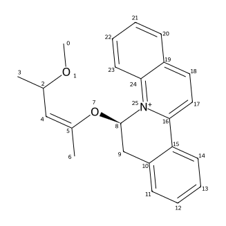 COC(C)/C=C(/C)O[C@@H]1Cc2ccccc2-c2ccc3ccccc3[n+]21